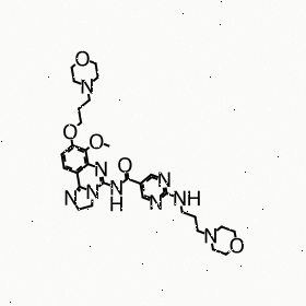 COc1c(OCCCN2CCOCC2)ccc2c1N=C(NC(=O)c1cnc(NCCCN3CCOCC3)nc1)N1CCN=C21